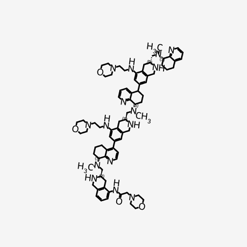 CN(C[C@H]1Cc2c(cc(C3CC[C@H](N(C)C[C@@H]4Cc5c(cc(-c6ccnc7c6CCC[C@@H]7N(C)C[C@H]6Cc7c(cccc7NC(=O)CN7CCOCC7)CN6)cc5NCCN5CCOCC5)CN4)c4ncccc43)cc2NCCN2CCOCC2)CN1)[C@H]1CCCc2cccnc21